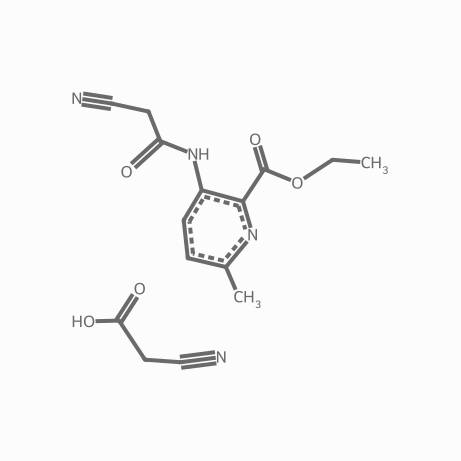 CCOC(=O)c1nc(C)ccc1NC(=O)CC#N.N#CCC(=O)O